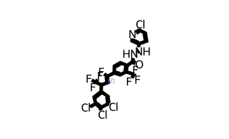 O=C(NNc1ccc(Cl)nc1)c1ccc(/C(F)=C/C(c2cc(Cl)c(Cl)c(Cl)c2)C(F)(F)F)cc1C(F)(F)F